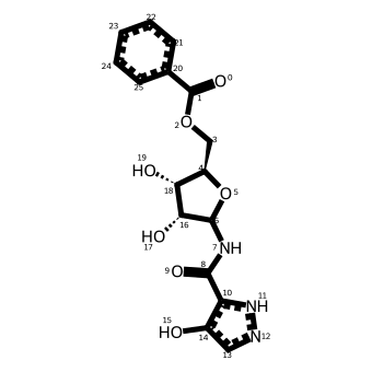 O=C(OC[C@H]1OC(NC(=O)c2[nH]ncc2O)[C@H](O)[C@@H]1O)c1ccccc1